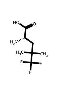 CC(C)(C[C@H](N)C(=O)O)C(F)(F)F